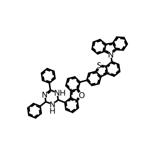 c1ccc(C2=NC(c3ccccc3)NC(c3cccc4oc5c(-c6ccc7c(c6)sc6c(-n8c9ccccc9c9ccccc98)cccc67)cccc5c34)N2)cc1